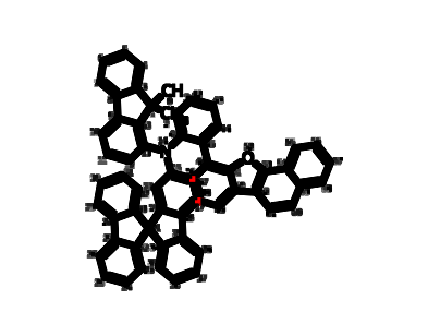 CC1(C)c2ccccc2-c2cccc(N(c3ccc4c(c3)C3(c5ccccc5-c5ccccc53)c3ccccc3-4)c3ccccc3-c3cccc4c3oc3c5ccccc5ccc43)c21